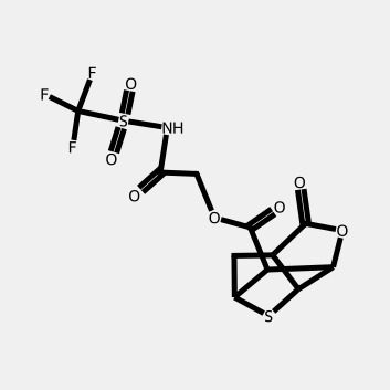 O=C(COC(=O)C1C2CC3C(=O)OC1C3S2)NS(=O)(=O)C(F)(F)F